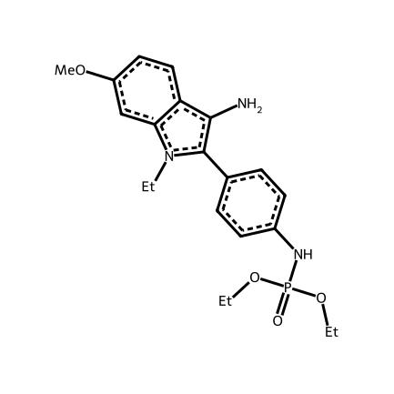 CCOP(=O)(Nc1ccc(-c2c(N)c3ccc(OC)cc3n2CC)cc1)OCC